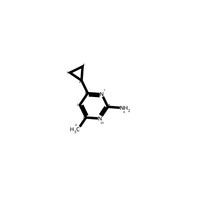 Cc1cc(C2CC2)nc(N)n1